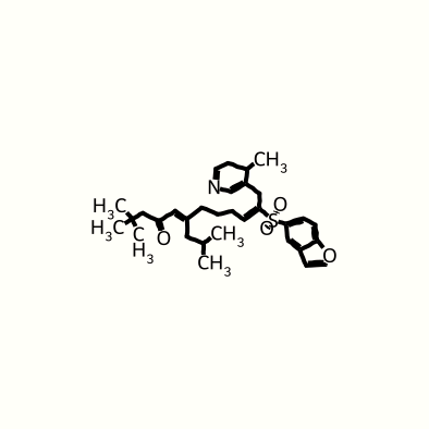 CC(C)C/C(=C\C(=O)CC(C)(C)C)CCC/C=C(\CC1=CN=CCC1C)S(=O)(=O)c1ccc2occc2c1